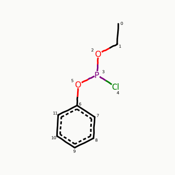 CCOP(Cl)Oc1ccccc1